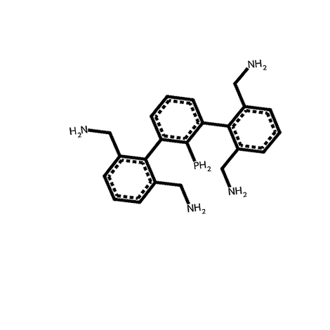 NCc1cccc(CN)c1-c1cccc(-c2c(CN)cccc2CN)c1P